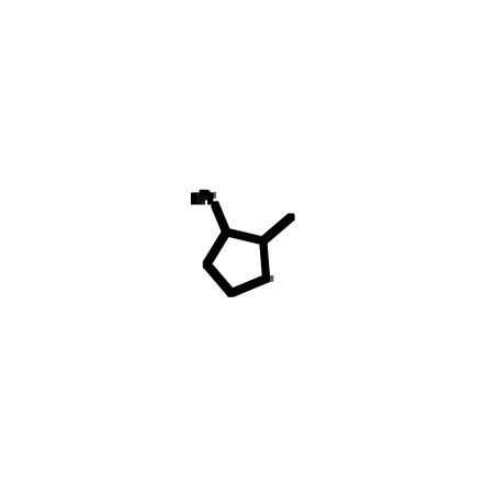 CCCC1CC[CH]C1C